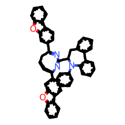 C1=CC/C(c2ccc3c(c2)oc2ccccc23)=N\C(C2Cc3ccccc3-c3ccccc3N2c2ccccc2)=N/C=1c1ccc2c(c1)oc1ccccc12